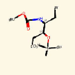 CC(C)C[C@H](NC(=O)OC(C)(C)C)[C@H](CC(=O)O)O[Si](C)(C)C(C)(C)C